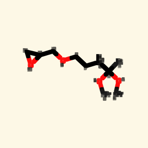 CCCOC(CC)(OCCC)[SiH2]CCOCC1CO1